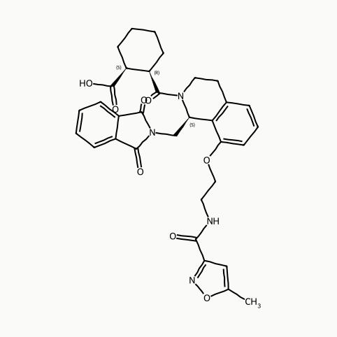 Cc1cc(C(=O)NCCOc2cccc3c2[C@@H](CN2C(=O)c4ccccc4C2=O)N(C(=O)[C@@H]2CCCC[C@@H]2C(=O)O)CC3)no1